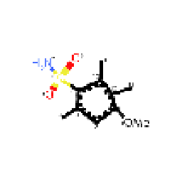 COc1cc(C)c(S(N)(=O)=O)c(C)c1C